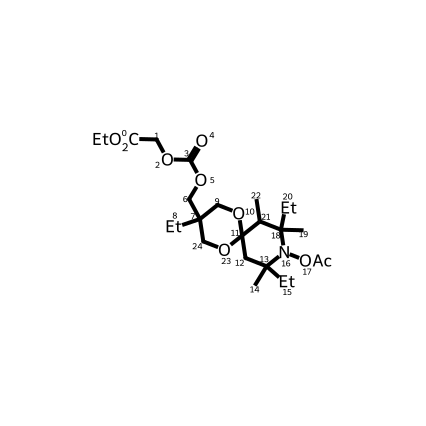 CCOC(=O)COC(=O)OCC1(CC)COC2(CC(C)(CC)N(OC(C)=O)C(C)(CC)C2C)OC1